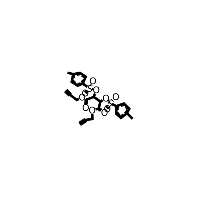 C#CCOC(=O)C(OS(=O)(=O)c1ccc(C)cc1)C(OS(=O)(=O)c1ccc(C)cc1)C(=O)OCC#C